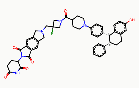 O=C1CCC(N2C(=O)c3cc4c(cc3C2=O)CN(CC2(F)CN(C(=O)C3CCN(c5ccc([C@@H]6c7ccc(O)cc7CC[C@@H]6c6ccccc6)cc5)CC3)C2)C4)C(=O)N1